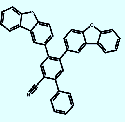 N#Cc1cc(-c2ccc3sc4ccccc4c3c2)c(-c2ccc3oc4ccccc4c3c2)cc1-c1ccccc1